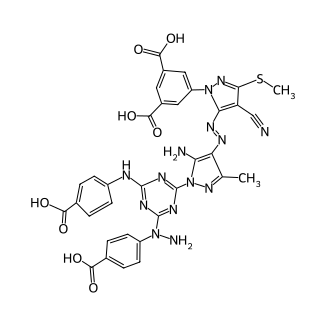 CSc1nn(-c2cc(C(=O)O)cc(C(=O)O)c2)c(N=Nc2c(C)nn(-c3nc(Nc4ccc(C(=O)O)cc4)nc(N(N)c4ccc(C(=O)O)cc4)n3)c2N)c1C#N